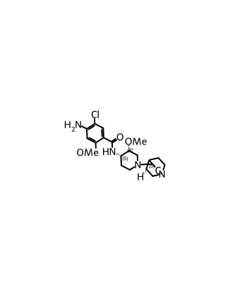 COc1cc(N)c(Cl)cc1C(=O)N[C@H]1CCN([C@@H]2CN3CCC2CC3)C[C@H]1OC